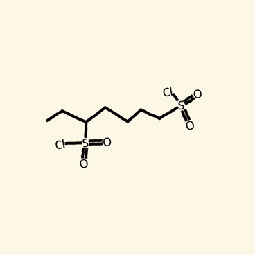 CCC(CCCCS(=O)(=O)Cl)S(=O)(=O)Cl